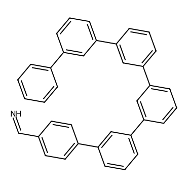 N=Cc1ccc(-c2cccc(-c3cccc(-c4cccc(-c5cccc(-c6ccccc6)c5)c4)c3)c2)cc1